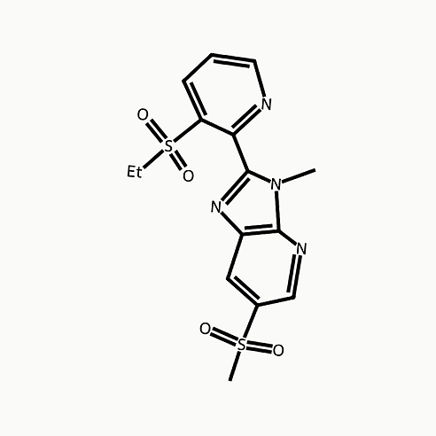 CCS(=O)(=O)c1cccnc1-c1nc2cc(S(C)(=O)=O)cnc2n1C